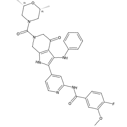 COc1cc(C(=O)Nc2cc(-c3[nH]c4c(c3Nc3ccccc3)C(=O)CN(C(=O)N3C[C@@H](C)O[C@@H](C)C3)C4)ccn2)ccc1F